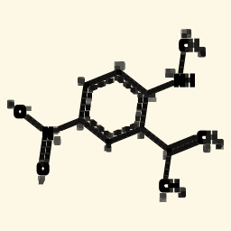 C=C(C)c1cc([N+](=O)[O-])ccc1NC